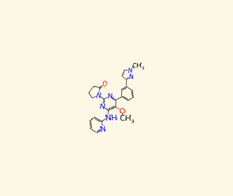 COc1c(Nc2ccccn2)nc(N2CCCC2=O)nc1-c1cccc(-c2ccn(C)n2)c1